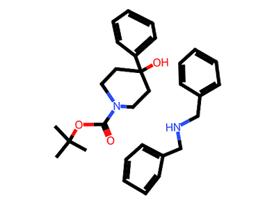 CC(C)(C)OC(=O)N1CCC(O)(c2ccccc2)CC1.c1ccc(CNCc2ccccc2)cc1